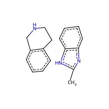 Cc1nc2ccccc2[nH]1.c1ccc2c(c1)CCNC2